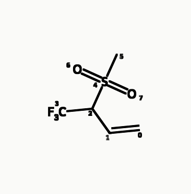 C=CC(C(F)(F)F)S(C)(=O)=O